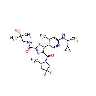 CC1CC(F)(F)CN1C(=O)c1nc(C(=O)NCC(C)(C)O)sc1-c1cnc(N[C@@H](C)C2CC2)cc1C(F)(F)F